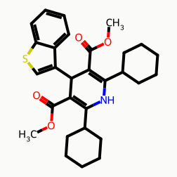 COC(=O)C1=C(C2CCCCC2)NC(C2CCCCC2)=C(C(=O)OC)C1c1csc2ccccc12